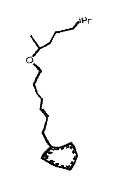 CC(C)CCCC(C)OCCC/C=C/Cc1ccccc1